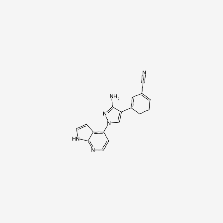 N#CC1=CCCC(c2cn(-c3ccnc4[nH]ccc34)nc2N)=C1